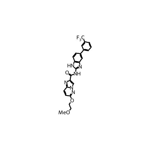 COCCOc1ccc2nc(C(=O)Nc3nc4cc(-c5cccc(C(F)(F)F)c5)ccc4[nH]3)cn2n1